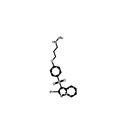 CC(C)c1nn2ccccc2c1S(=O)(=O)c1ccc(OCCCNC(C)(C)C)cc1